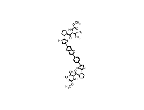 COC(=O)N[C@H](C(=O)N1CCC[C@H]1c1nc(-c2cc3oc(-c4ccc(-c5cnc([C@@H]6CCCN6C(=O)[C@@H](NC(=O)OC)C(C)C)[nH]5)cc4)cc3s2)c[nH]1)C(C)C